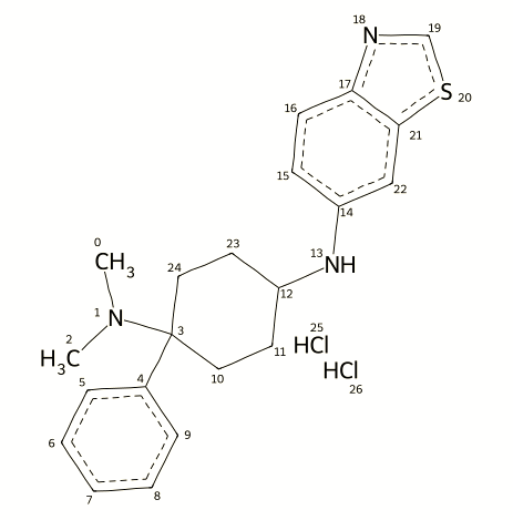 CN(C)C1(c2ccccc2)CCC(Nc2ccc3ncsc3c2)CC1.Cl.Cl